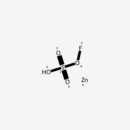 O=S(=O)(O)OF.[Zn]